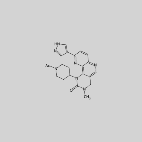 CC(=O)N1CCC(N2C(=O)N(C)Cc3cnc4ccc(-c5cn[nH]c5)nc4c32)CC1